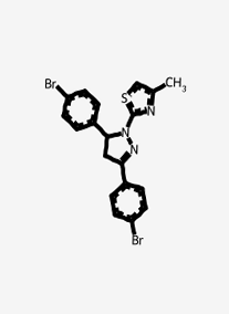 Cc1csc(N2N=C(c3ccc(Br)cc3)CC2c2ccc(Br)cc2)n1